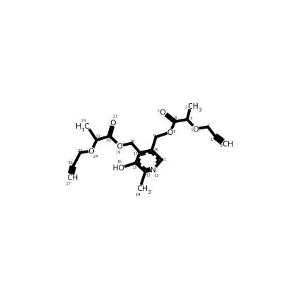 C#CCOC(C)C(=O)OCc1cnc(C)c(O)c1COC(=O)C(C)OCC#C